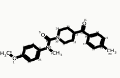 COc1ccc(N(C)C(=O)N2CCC(C(=O)c3ccc(C)cc3)CC2)cc1